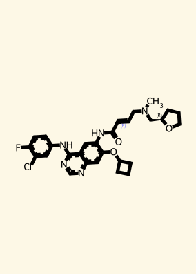 CN(C/C=C/C(=O)Nc1cc2c(Nc3ccc(F)c(Cl)c3)ncnc2cc1OC1CCC1)C[C@H]1CCCO1